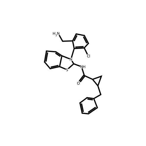 NCc1cccc(Cl)c1N1c2ccccc2SC1NC(=O)C1CC1Cc1ccccc1